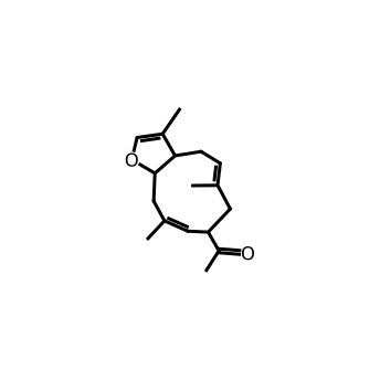 CC(=O)C1/C=C(/C)CC2OC=C(C)C2C/C=C(\C)C1